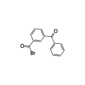 O=C(Br)c1cccc(C(=O)c2ccccc2)c1